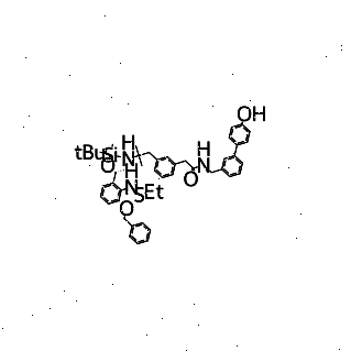 CCSNc1c(OCc2ccccc2)cccc1[C@@H](CNC(C)(C)Cc1cccc(CC(=O)NCc2cccc(-c3ccc(O)cc3)c2)c1)O[Si](C)(C)C(C)(C)C